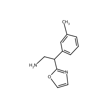 Cc1cccc(C(CN)c2ncco2)c1